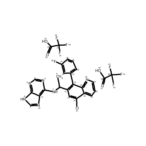 CC(Nc1ncnc2[nH]cnc12)c1cc(Cl)c2cccnc2c1-c1cccc(F)c1.O=C(O)C(F)(F)F.O=C(O)C(F)(F)F